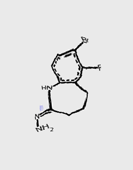 N/N=C1\CCCc2c(ccc(Br)c2F)N1